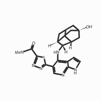 CNC(=O)c1nnc(-c2cnc3[nH]ccc3c2N[C@H]2[C@@H]3CC4C[C@H]2C[C@@](O)(C4)C3)s1